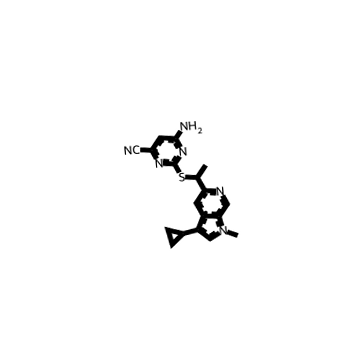 CC(Sc1nc(N)cc(C#N)n1)c1cc2c(C3CC3)cn(C)c2cn1